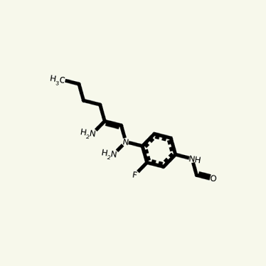 CCCC/C(N)=C/N(N)c1ccc(NC=O)cc1F